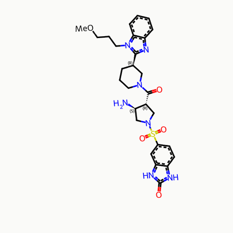 COCCCn1c([C@@H]2CCCN(C(=O)[C@@H]3CN(S(=O)(=O)c4ccc5[nH]c(=O)[nH]c5c4)C[C@H]3N)C2)nc2ccccc21